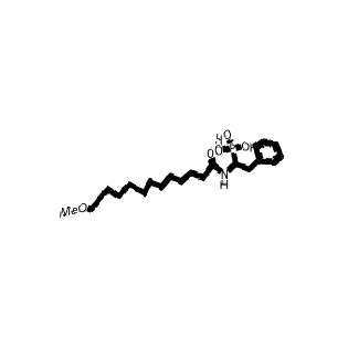 COCCCCCCCCCCCC(=O)NC(Cc1ccccc1)P(=O)(O)O